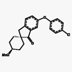 CO[C@H]1CC[C@]2(CC1)Cc1ccc(Oc3ccc(Cl)cc3)cc1C2=O